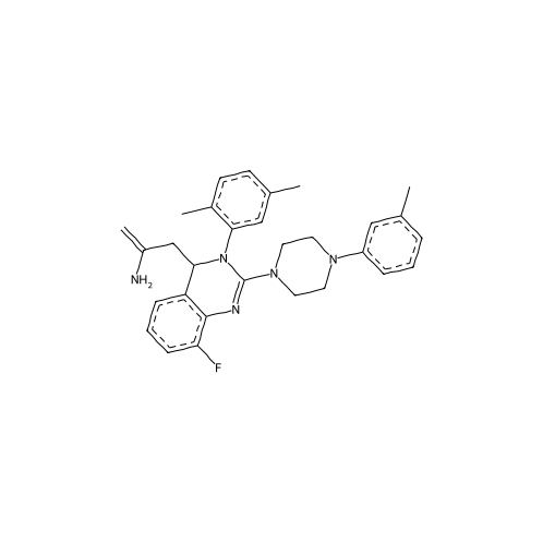 C=C(N)CC1c2cccc(F)c2N=C(N2CCN(c3cccc(C)c3)CC2)N1c1cc(C)ccc1C